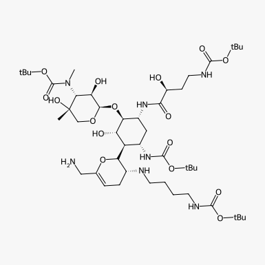 CN(C(=O)OC(C)(C)C)[C@@H]1[C@@H](O)[C@@H](O[C@@H]2[C@@H](O)[C@H](C3OC(CN)=CC[C@H]3NCCCCNC(=O)OC(C)(C)C)[C@@H](NC(=O)OC(C)(C)C)C[C@H]2NC(=O)[C@@H](O)CCNC(=O)OC(C)(C)C)OC[C@]1(C)O